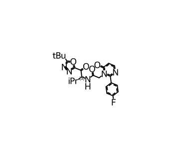 CC(C)[C@H](NC(=O)Cn1c(-c2ccc(F)cc2)nccc1=O)C(=O)c1nnc(C(C)(C)C)o1